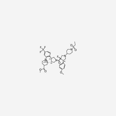 CCS(=O)(=O)N1CCC(N2C[C@@H](c3ccc(OC)cc3)[C@](F)(C(=O)N3C[C@H](COC)[C@@H](c4ccc(C(F)(F)F)cc4N4CCC(C(=O)OC)CC4)C3)C2)CC1